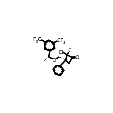 C[C@@H](OC[C@@]1(c2ccccc2)CC(=O)C1(Cl)Cl)c1cc(C(F)(F)F)cc(C(F)(F)F)c1